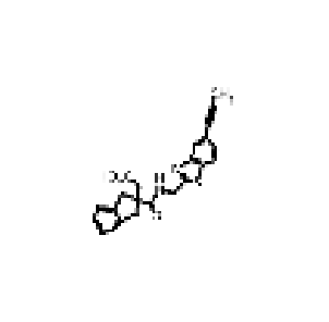 CC#Cc1ccc2sc(CNC(=O)C3(CC(=O)O)Cc4ccccc4C3)nc2c1